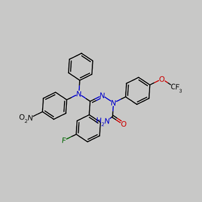 NC(=O)N(N=C(c1cccc(F)c1)N(c1ccccc1)c1ccc([N+](=O)[O-])cc1)c1ccc(OC(F)(F)F)cc1